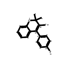 CC1(C)Oc2c[c]ccc2C(c2ccc(F)cc2)=C1F